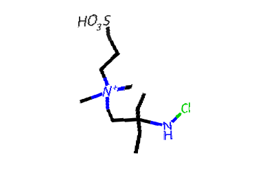 CC(C)(C[N+](C)(C)CCS(=O)(=O)O)NCl